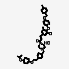 Cc1ccc(COc2ccc(Oc3c(C)cc(/C=C/C(=O)N4CCN(Cc5ccc(CCOc6ccc(OC(C)C)cc6)cc5)CC4)cc3Cl)nc2)cc1.Cl